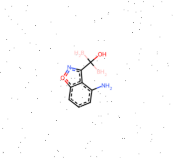 BC(B)(O)c1noc2cccc(N)c12